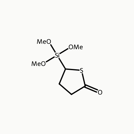 CO[Si](OC)(OC)C1CCC(=O)S1